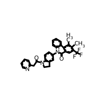 Cc1c(C(F)(F)F)cc(C(=O)Nc2ccc3c(c2)CCN3C(=O)Cc2ccccn2)c(-c2ccccc2)c1C